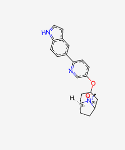 C[N@@+]1([O-])C2CC[C@H]1CC(Oc1ccc(-c3ccc4[nH]ccc4c3)nc1)C2